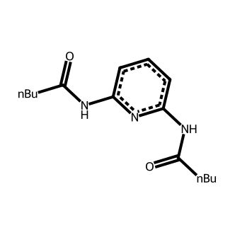 CCCCC(=O)Nc1cccc(NC(=O)CCCC)n1